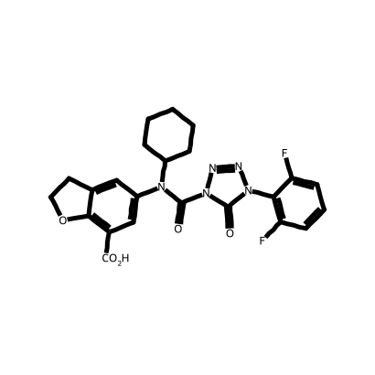 O=C(O)c1cc(N(C(=O)n2nnn(-c3c(F)cccc3F)c2=O)C2CCCCC2)cc2c1OCC2